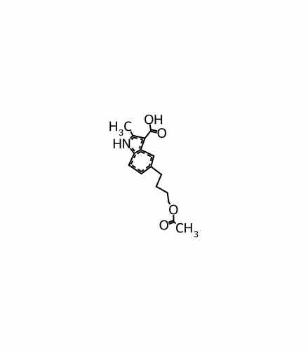 CC(=O)OCCCCc1ccc2[nH]c(C)c(C(=O)O)c2c1